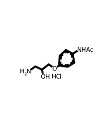 CC(=O)Nc1ccc(OCC(O)CN)cc1.Cl